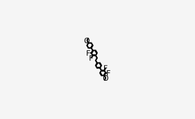 COc1ccc(-c2ccc(CCc3ccc(C4=CCC(OC)CC4)c(F)c3F)cc2)c(F)c1F